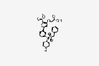 COC(=O)c1sc(-c2cccc(N(C3CCNCC3)S(=O)(=O)Cc3ccccc3)c2)cc1OCC(=O)O